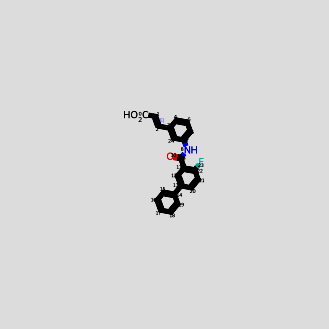 O=C(O)/C=C/c1cccc(NC(=O)c2cc(-c3ccccc3)ccc2F)c1